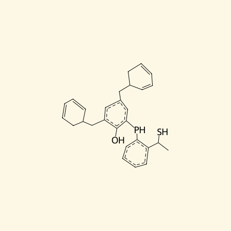 CC(S)c1ccccc1Pc1cc(CC2C=CC=CC2)cc(CC2C=CC=CC2)c1O